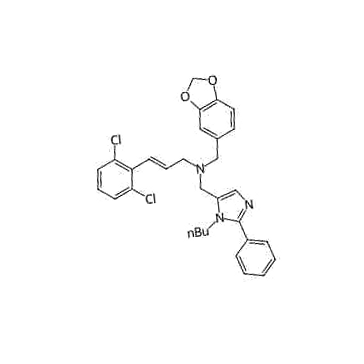 CCCCn1c(CN(CC=Cc2c(Cl)cccc2Cl)Cc2ccc3c(c2)OCO3)cnc1-c1ccccc1